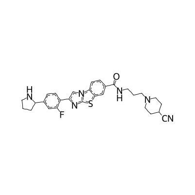 N#CC1CCN(CCCNC(=O)c2ccc3c(c2)sc2nc(-c4ccc(C5CCCN5)cc4F)cn23)CC1